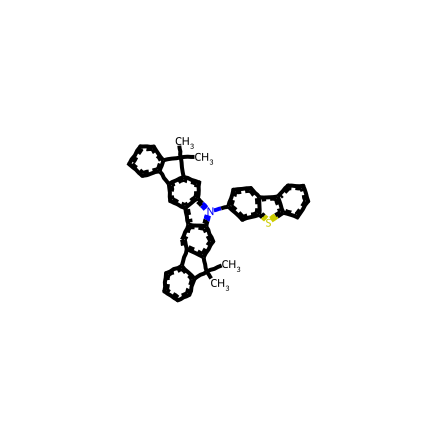 CC1(C)c2ccccc2-c2cc3c4cc5c(cc4n(-c4ccc6c(c4)sc4ccccc46)c3cc21)C(C)(C)c1ccccc1-5